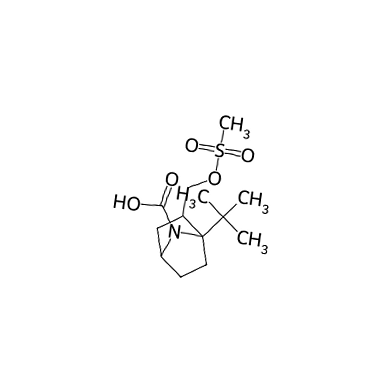 CC(C)(C)C12CCC(CC1COS(C)(=O)=O)N2C(=O)O